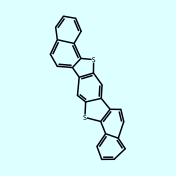 c1ccc2c(c1)ccc1c3cc4sc5c6ccccc6ccc5c4cc3sc21